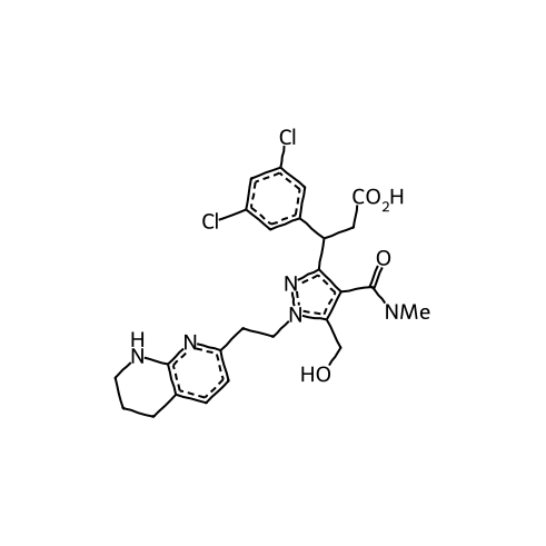 CNC(=O)c1c(C(CC(=O)O)c2cc(Cl)cc(Cl)c2)nn(CCc2ccc3c(n2)NCCC3)c1CO